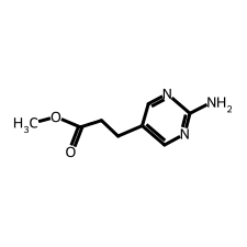 COC(=O)CCc1cnc(N)nc1